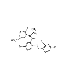 Cc1ccc(-c2cc(Br)ccc2OCc2ccc(F)cc2F)n1-c1cc(C(=O)O)ccc1F